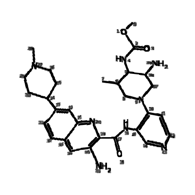 COC(=O)NC1C(C)CN(c2ccncc2NC(=O)c2nc3cc(C4CCN(C)CC4)ccc3cc2N)CC1N